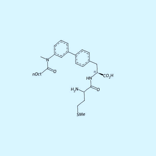 CCCCCCCCC(=O)N(C)c1cccc(-c2ccc(C[C@H](NC(=O)C(N)CCSC)C(=O)O)cc2)c1